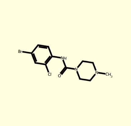 CN1CCN(C(=O)Nc2ccc(Br)cc2Cl)CC1